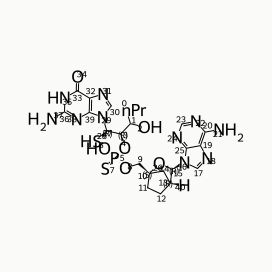 CCCC(O)[C@@H](OP(O)(=S)OC[C@]12CC[C@H](C1)[C@H](n1cnc3c(N)ncnc31)O2)[C@@H](S)n1cnc2c(=O)[nH]c(N)nc21